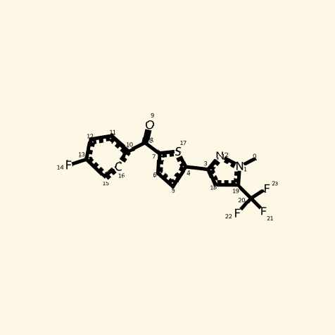 Cn1nc(-c2ccc(C(=O)c3ccc(F)cc3)s2)cc1C(F)(F)F